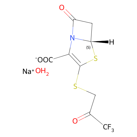 O.O=C([O-])C1=C(SCC(=O)C(F)(F)F)S[C@H]2CC(=O)N12.[Na+]